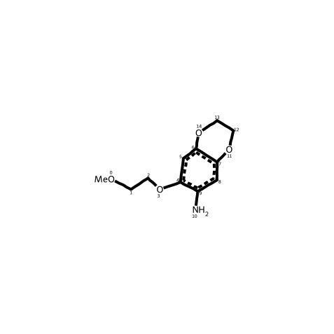 COCCOc1cc2c(cc1N)OCCO2